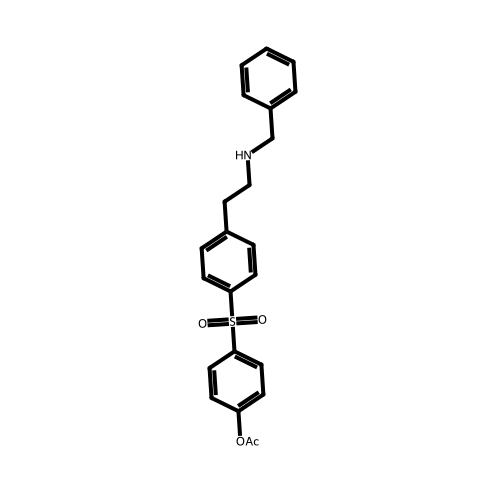 CC(=O)Oc1ccc(S(=O)(=O)c2ccc(CCNCc3ccccc3)cc2)cc1